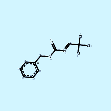 O=C(N=CC(Cl)(Cl)Cl)OCc1ccccc1